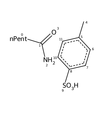 CCCCCC(N)=O.Cc1ccc(S(=O)(=O)O)cc1